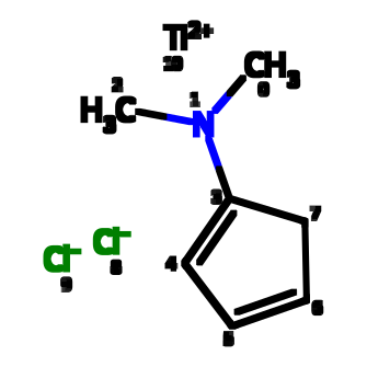 CN(C)C1=CC=CC1.[Cl-].[Cl-].[Ti+2]